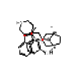 Cc1nc2ccccc2n1[C@H]1C[C@H]2CC[C@@H](C1)N2CCC1(c2cccc(Cl)c2)CCNCC1